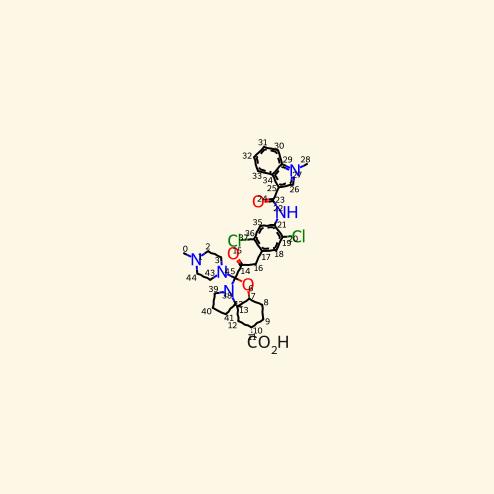 CN1CCN(C(O[C@H]2CC[C@H](C(=O)O)CC2)(C(=O)Cc2cc(Cl)c(NC(=O)c3cn(C)c4ccccc34)cc2Cl)N2CCCC2)CC1